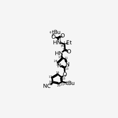 CC[C@@H](NC(=O)OC(C)(C)C)C(=O)Nc1cnc(Oc2ccc(C#N)cc2C(C)(C)C)nc1